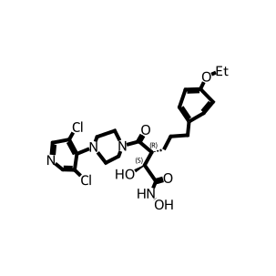 CCOc1ccc(CCC[C@@H](C(=O)N2CCN(c3c(Cl)cncc3Cl)CC2)[C@H](O)C(=O)NO)cc1